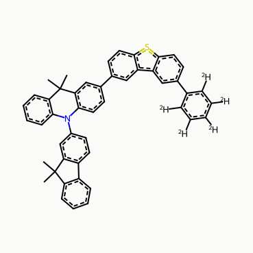 [2H]c1c([2H])c([2H])c(-c2ccc3sc4ccc(-c5ccc6c(c5)C(C)(C)c5ccccc5N6c5ccc6c(c5)C(C)(C)c5ccccc5-6)cc4c3c2)c([2H])c1[2H]